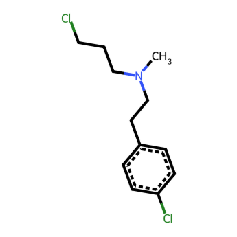 CN(CCCCl)CCc1ccc(Cl)cc1